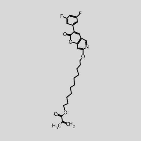 C=C(C)C(=O)OCCCCCCCCCCCOc1cc2oc(=O)c(-c3cc(F)cc(F)c3)cc2cn1